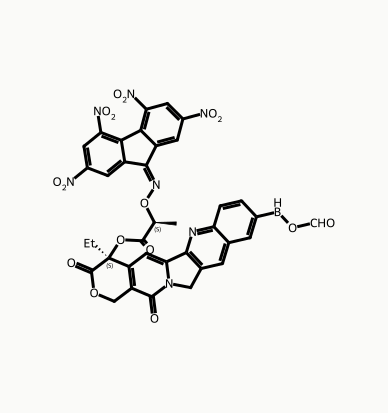 CC[C@@]1(OC(=O)[C@H](C)ON=C2c3cc([N+](=O)[O-])cc([N+](=O)[O-])c3-c3c2cc([N+](=O)[O-])cc3[N+](=O)[O-])C(=O)OCc2c1cc1n(c2=O)Cc2cc3cc(BOC=O)ccc3nc2-1